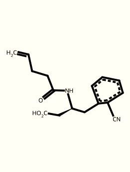 C=CCCC(=O)N[C@H](CC(=O)O)Cc1ccccc1C#N